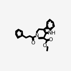 CCOC(=O)C1=CN(C(=O)CCc2ccccc2)CCc2c1[nH]c1ccccc21